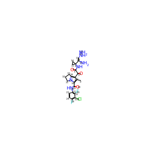 Cc1c(C(=O)C(=O)NC2(/C(N)=C/NN)CC2)c2n(c1C(=O)Nc1ccc(F)c(Cl)c1F)CCC2